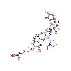 CCN(CC)CC.COc1cc2c(Oc3ccc(NC(=O)C4(C(=O)Nc5ccc(F)cc5)CC4)cc3F)ccnc2cc1OCCCCCC(=O)O